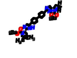 CC(C)(C)OC(=O)N1C[Si](C)(C)C[C@H]1c1ncc(-c2ccc(-c3ccc(-c4ncc([C@@H]5C[C@H]6C[C@H]6N5C(=O)OC(C)(C)C)[nH]4)cc3)cc2)[nH]1